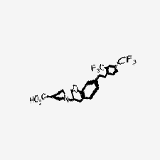 O=C(O)C1CN(CC2=Cc3ccc(CCc4ccc(C(F)(F)F)cc4C(F)(F)F)cc3OC2)C1